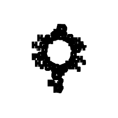 CCc1nccn1Cc1ccc(C[C@H]2OC(=O)[C@H](CC(C)C)N(C)C(=O)[C@@H](C)OC(=O)[C@H](CC(C)C)N(C)C(=O)[C@@H](Cc3ccccc3)OC(=O)[C@H](CC(C)C)N(C)C(=O)[C@@H](C)OC(=O)[C@H](CC(C)C)N(C)C2=O)cc1